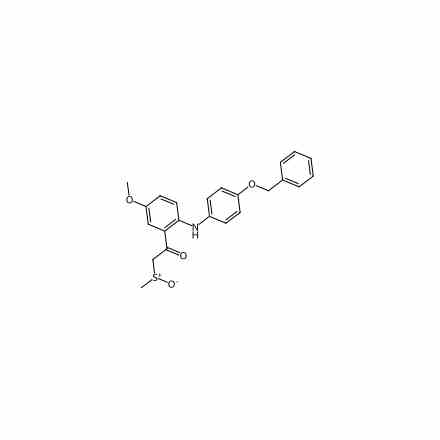 COc1ccc(Nc2ccc(OCc3ccccc3)cc2)c(C(=O)C[S+](C)[O-])c1